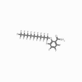 NC(=O)c1c(F)c(F)c(F)c(F)c1OC(F)(F)C(F)(F)C(F)(F)C(F)(F)C(F)(F)C(F)(F)C(F)(F)C(F)(F)C(F)(F)F